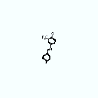 Fc1ccc(C=Nc2ccc(Cl)c(C(F)(F)F)c2)cc1